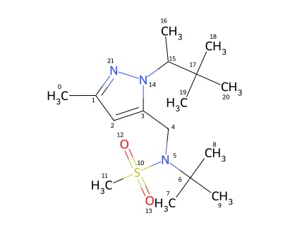 Cc1cc(CN(C(C)(C)C)S(C)(=O)=O)n(C(C)C(C)(C)C)n1